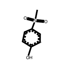 CS(=O)(=O)c1c[c]c(O)cc1